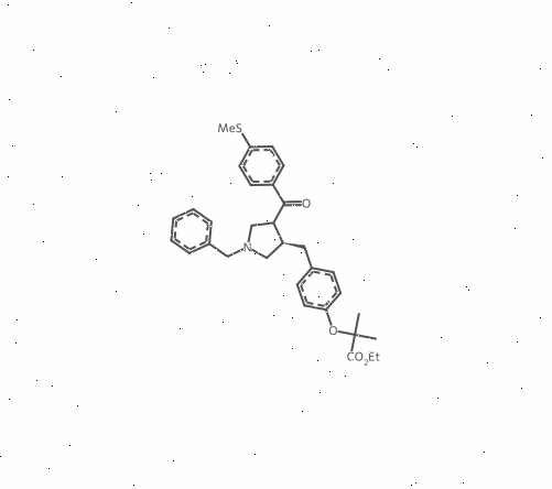 CCOC(=O)C(C)(C)Oc1ccc(C[C@H]2CN(Cc3ccccc3)CC2C(=O)c2ccc(SC)cc2)cc1